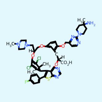 Cc1c(Cl)c2c(Cl)c(C)c1-c1c(-c3ccc(F)cc3)sc3ncnc(c13)O[C@@H](C(=O)O)Cc1cc(ccc1OCc1ccnc(N3CCC(C)(N)CC3)n1)OC[C@@H](CN1CCN(C)CC1)O2